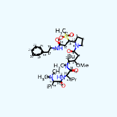 CCC(C)C(C(CC(=O)N1CCCC1C(CC(=O)NCCc1ccccc1)S(C)(=O)=O)OC)N(C)C(=O)C(NC(=O)C(C(C)C)N(C)C)C(C)C